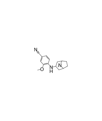 COc1cc(C#N)ccc1NC1CC2CCC(C1)N2C